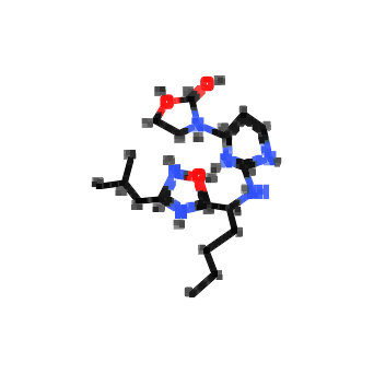 CCCCC(Nc1nccc(N2CCOC2=O)n1)c1nc(CC(C)C)no1